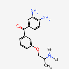 CCN(CC)C(C)COc1cccc(C(=O)c2ccc(N)c(N)c2)c1